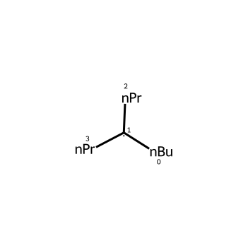 CCCC[C](CCC)CCC